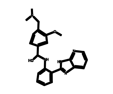 COc1cc(C(O)Nc2ccccc2-c2nc3cccnc3[nH]2)ccc1CN(C)C